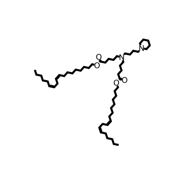 CCCCC/C=C\C/C=C\CCCCCCCCOC(=O)CCCCN(CCCCC(=O)OCCCCCCCC/C=C\C/C=C\CCCCC)CCCCN1CCCCC1